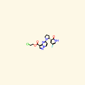 O=C(OCCCl)c1cnn2ccc(N3CCC[C@@H]3c3cc(F)c[nH]c3=O)nc12